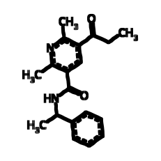 CCC(=O)c1cc(C(=O)NC(C)c2ccccc2)c(C)nc1C